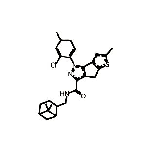 Cc1cc2c(s1)Cc1c(C(=O)NCC3CCC4CC3C4(C)C)nn(C3=CCC(C)C=C3Cl)c1-2